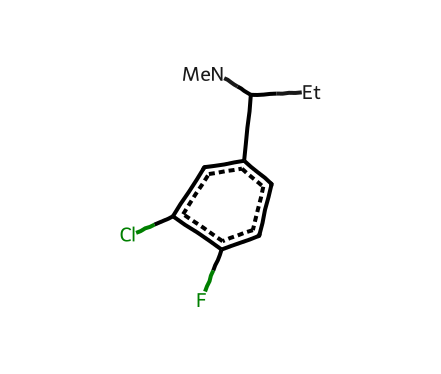 CCC(NC)c1ccc(F)c(Cl)c1